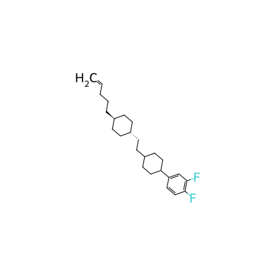 C=CCCC[C@H]1CC[C@H](CCC2CCC(c3ccc(F)c(F)c3)CC2)CC1